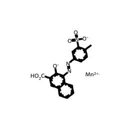 Cc1ccc(N=Nc2c([O-])c(C(=O)O)cc3ccccc23)cc1S(=O)(=O)[O-].[Mn+2]